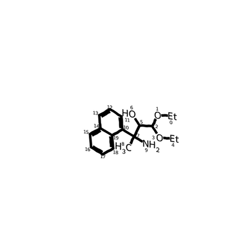 CCOC(OCC)C(O)C(C)(N)c1cccc2ccccc12